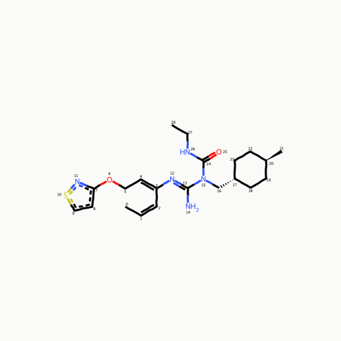 C\C=C/C(=C\COc1ccsn1)/N=C(\N)N(C[C@H]1CC[C@H](C)CC1)C(=O)NCC